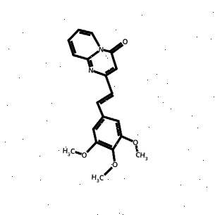 COc1cc(C=Cc2cc(=O)n3ccccc3n2)cc(OC)c1OC